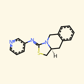 c1cncc(N=C2SC[C@@H]3Cc4ccccc4CN23)c1